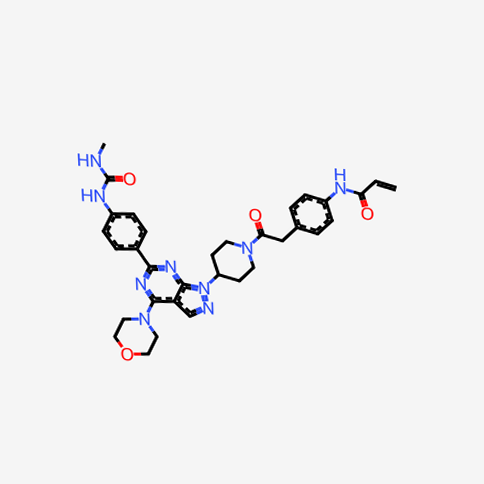 C=CC(=O)Nc1ccc(CC(=O)N2CCC(n3ncc4c(N5CCOCC5)nc(-c5ccc(NC(=O)NC)cc5)nc43)CC2)cc1